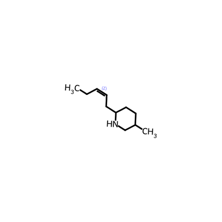 CC/C=C\CC1CCC(C)CN1